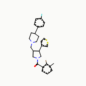 Cc1cccc(C(=O)N2CC(CN3CCC(c4ccc(F)cc4)CC3)C(c3ccsc3)C2)c1Br